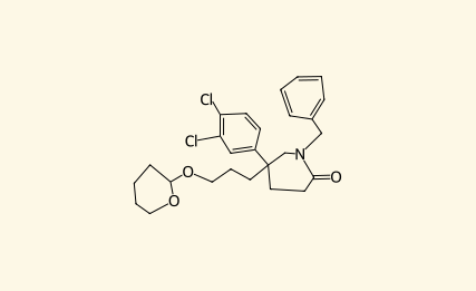 O=C1CCC(CCCOC2CCCCO2)(c2ccc(Cl)c(Cl)c2)CN1Cc1ccccc1